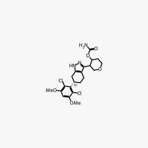 COc1cc(OC)c(Cl)c([C@H]2CCc3c(C4COCCC4OC(N)=O)n[nH]c3C2)c1Cl